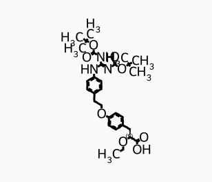 CCO[C@@H](Cc1ccc(OCCc2ccc(NC(=NC(=O)OC(C)(C)C)NC(=O)OC(C)(C)C)cc2)cc1)C(=O)O